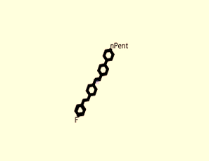 CCCCCC1CCC(C2CCC(/C=C/C3CCC(CCc4ccc(F)cc4)CC3)CC2)CC1